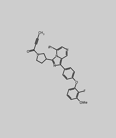 CC#CC(=O)N1CCC(c2nc(-c3ccc(Oc4cccc(OC)c4F)cc3)c3cncc(C(C)C)n23)C1